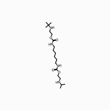 CC(C)NCCOC(=O)NCCCCCCNC(=O)OCCNC(C)(C)C